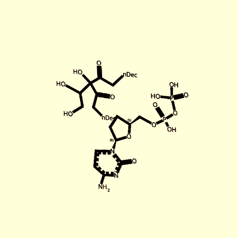 CCCCCCCCCCCC(=O)C(O)(C(=O)CCCCCCCCCCC)C(O)CO.Nc1ccn([C@H]2CC[C@@H](COP(=O)(O)OP(=O)(O)O)O2)c(=O)n1